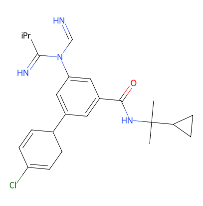 CC(C)C(=N)N(C=N)c1cc(C(=O)NC(C)(C)C2CC2)cc(C2C=CC(Cl)=CC2)c1